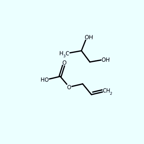 C=CCOC(=O)O.CC(O)CO